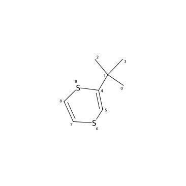 CC(C)(C)C1=CSC=CS1